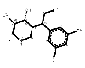 O[C@@H]1[C@@H]([C@@H](CF)c2cc(F)cc(F)c2)CNC[C@H]1O